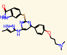 Cc1cc(Nc2cc(-c3ccc(OCCCN(C)C)cc3)nc(Sc3ccc4c(=O)[nH][nH]c4c3)n2)n[nH]1